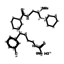 CN[C@@H](CNC(=O)N1CCC[C@@H](C(OCCNC(=O)OC)c2cccc(Cl)c2)C1)C[C@H]1CCCOC1.Cl